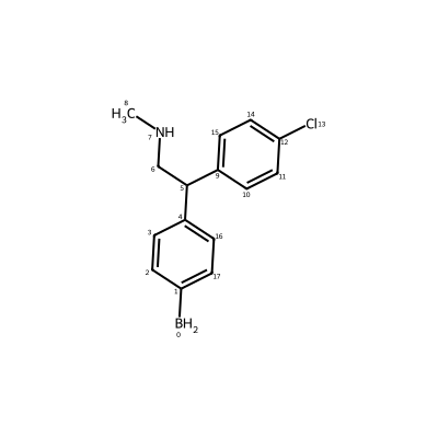 Bc1ccc(C(CNC)c2ccc(Cl)cc2)cc1